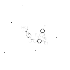 CCC(=NOCc1cc(F)ccc1C(F)(F)F)c1ccc(OCC(=O)N2CCN(C(=O)CO)CC2)cc1